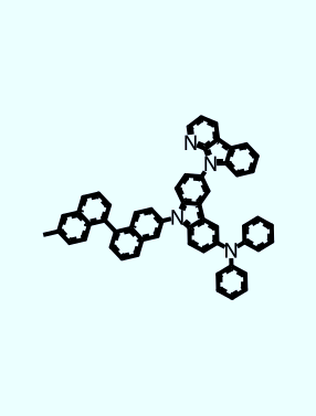 Cc1ccc2c(-c3cccc4cc(-n5c6ccc(N(c7ccccc7)c7ccccc7)cc6c6cc(-n7c8ccccc8c8cccnc87)ccc65)ccc34)cccc2c1